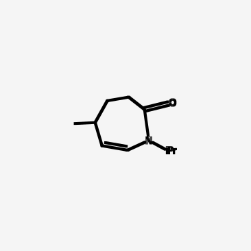 CC1C=CN(C(C)C)C(=O)CC1